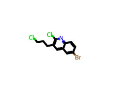 ClCCCc1cc2cc(Br)ccc2nc1Cl